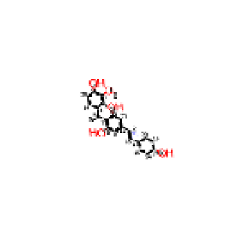 COc1cc(C(C)c2c(O)cc(/C=C/c3ccc(O)cc3)cc2O)ccc1O